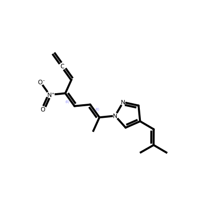 C=C=C/C(=C\C=C(/C)n1cc(C=C(C)C)cn1)[N+](=O)[O-]